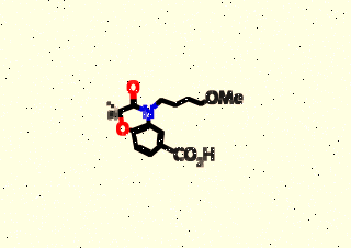 COCCCCN1C(=O)[C@@H](C)Oc2ccc(C(=O)O)cc21